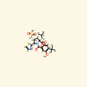 COc1cc(C(=O)N2[C@@H](c3nccs3)[C@H](CS(C)(=O)=O)C[C@@]2(CC(C)C)C(=O)O)ccc1C(C)(C)C